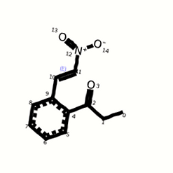 CCC(=O)c1ccccc1/C=C/[N+](=O)[O-]